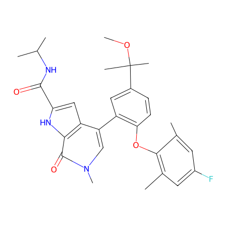 COC(C)(C)c1ccc(Oc2c(C)cc(F)cc2C)c(-c2cn(C)c(=O)c3[nH]c(C(=O)NC(C)C)cc23)c1